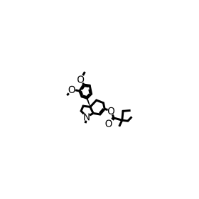 CCC(C)(CC)C(=O)OC1=CC2N(C)CC[C@]2(c2ccc(OC)c(OC)c2)CC1